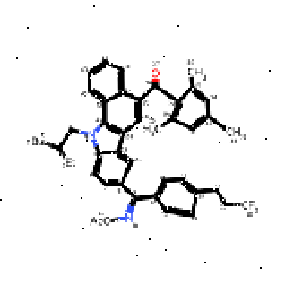 CCCCC(CC)Cn1c2ccc(/C(=N\OC(C)=O)c3ccc(CCC(F)(F)F)cc3)cc2c2cc(C(=O)c3c(C)cc(C)cc3C)c3ccccc3c21